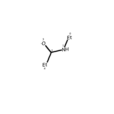 CCNC([O])CC